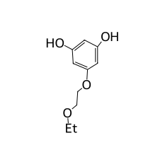 CCOCCOc1cc(O)cc(O)c1